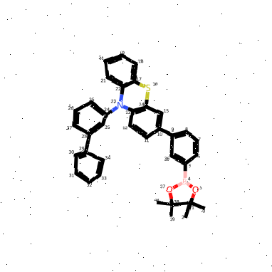 CC1(C)OB(c2cccc(-c3ccc4c(c3)Sc3ccccc3N4c3cccc(-c4ccccc4)c3)c2)OC1(C)C